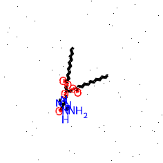 CCCCCCCCCCCC(=O)OCC(COC(=O)CCCCCCCCCCC)OCn1cnc2c(=O)[nH]c(N)nc21